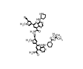 Cn1cc(-c2cc(C(N)=O)c3ncnc(N[C@H]4CCCN(C(=O)OC(C)(C)C)C4)c3n2)cc1C#N.Cn1cc(-c2cc(C(N)=O)c3ncnc(N[C@H]4CCCNC4)c3n2)cc1C#N